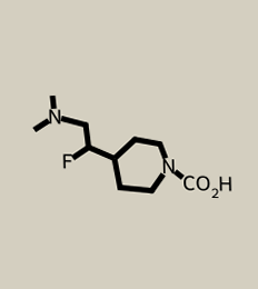 CN(C)CC(F)C1CCN(C(=O)O)CC1